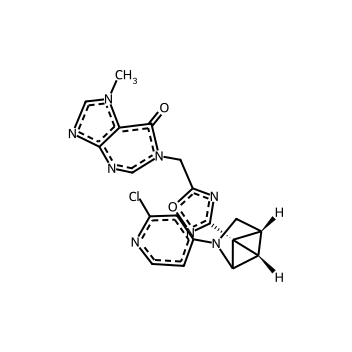 Cn1cnc2ncn(Cc3nc([C@@]45C6[C@H]4[C@H]5CN6c4ccnc(Cl)c4)no3)c(=O)c21